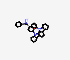 c1ccc(C2N[C@H]2c2ccc(-n3c4ccccc4c4ccc5c6ccccc6n(-c6ccccc6)c5c43)cc2)cc1